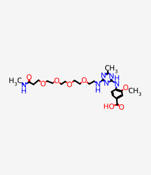 CNC(=O)CCOCCOCCOCCOCCNc1nc(C)nc(Nc2ccc(C(=O)O)cc2OC)n1